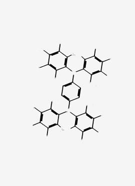 Cc1c(Cl)c(C)c(B(c2ccc(B(c3c(C)c(Cl)c(C)c(Cl)c3C)c3c(C)c(Cl)c(C)c(Cl)c3C)cc2)c2c(C)c(Cl)c(C)c(Cl)c2C)c(C)c1Cl